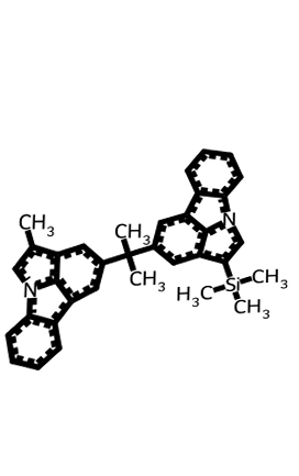 Cc1cn2c3ccccc3c3cc(C(C)(C)c4cc5c([Si](C)(C)C)cn6c7ccccc7c(c4)c56)cc1c32